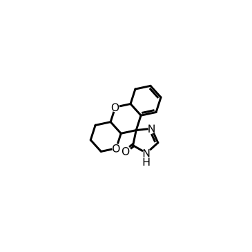 O=C1NC=NC12C1=CC=CCC1OC1CCCOC12